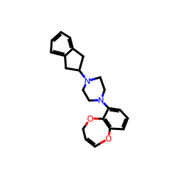 C1=COc2cccc(N3CCN(C4Cc5ccccc5C4)CC3)c2OC1